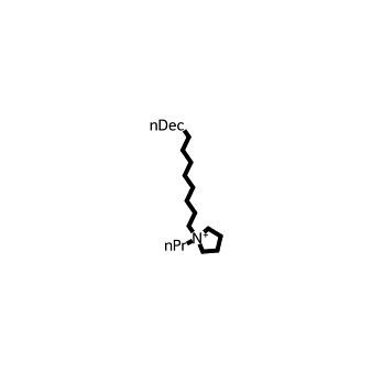 CCCCCCCCCCCCCCCCCC[N+]1(CCC)CCCC1